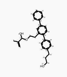 C=C(C)C(O)OCCc1cc(-c2ccccc2)ccc1-c1ccc(CCCO)cc1